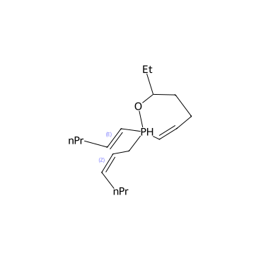 CCC/C=C\C[PH]1(/C=C/CCC)C=CCCC(CC)O1